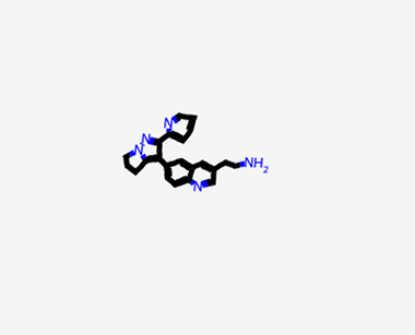 NCCc1cnc2ccc(-c3c(-c4ccccn4)nn4c3CCC4)cc2c1